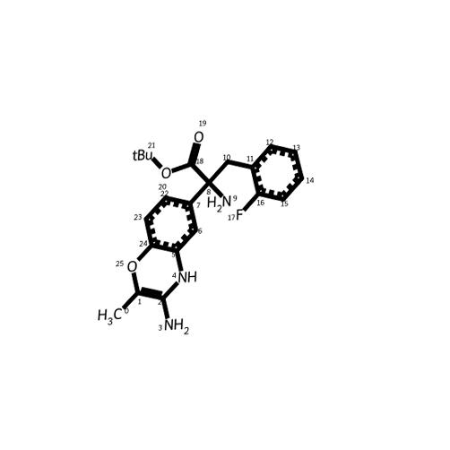 CC1=C(N)Nc2cc(C(N)(Cc3ccccc3F)C(=O)OC(C)(C)C)ccc2O1